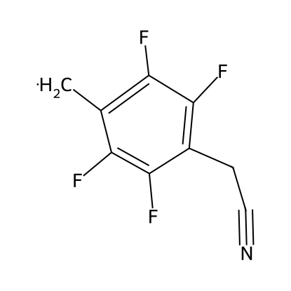 [CH2]c1c(F)c(F)c(CC#N)c(F)c1F